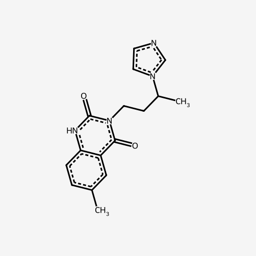 Cc1ccc2[nH]c(=O)n(CCC(C)n3ccnc3)c(=O)c2c1